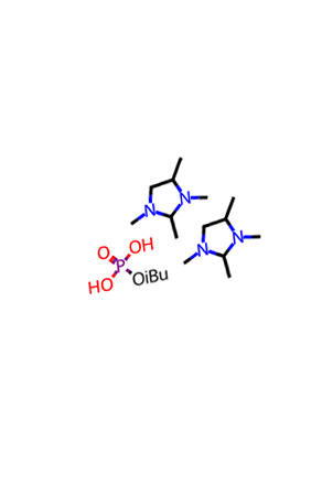 CC(C)COP(=O)(O)O.CC1CN(C)C(C)N1C.CC1CN(C)C(C)N1C